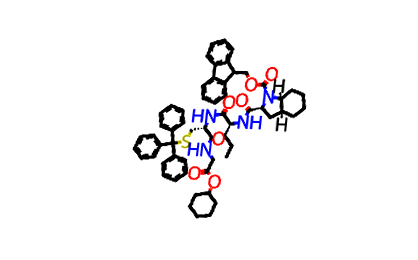 CCC[C@H](NC(=O)[C@@H]1C[C@@H]2CCCC[C@@H]2N1C(=O)OCC1c2ccccc2-c2ccccc21)C(=O)N[C@@H](CSC(c1ccccc1)(c1ccccc1)c1ccccc1)C(=O)NCC(=O)OC1CCCCC1